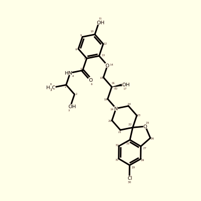 CC(CO)NC(=O)c1ccc(O)cc1OC[C@@H](O)CN1CCC2(CC1)OCc1cc(Cl)ccc12